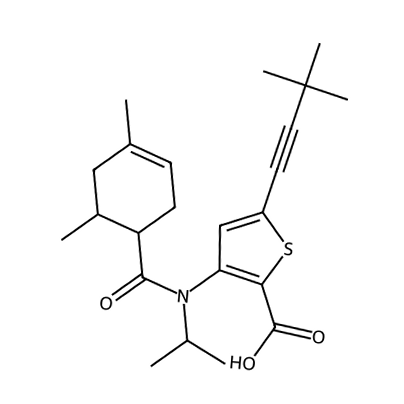 CC1=CCC(C(=O)N(c2cc(C#CC(C)(C)C)sc2C(=O)O)C(C)C)C(C)C1